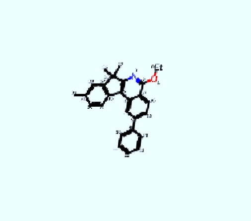 CCOc1nc2c(c3cc(-c4ccccc4)ccc13)-c1ccc(C)cc1C2(C)C